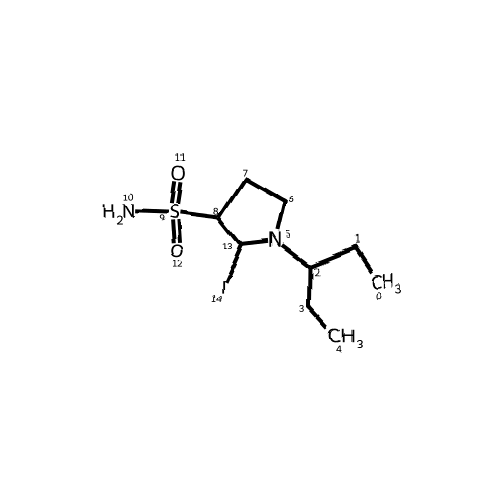 CCC(CC)N1CCC(S(N)(=O)=O)C1I